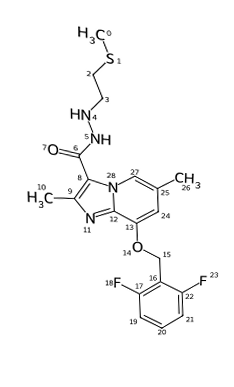 CSCCNNC(=O)c1c(C)nc2c(OCc3c(F)cccc3F)cc(C)cn12